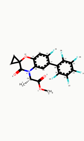 COC(=O)[C@H](C)N1C(=O)C2(CC2)Oc2cc(F)c(-c3c(F)c(F)c(F)c(F)c3F)cc21